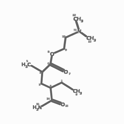 CCC(CC(C)C(=O)OCCN(C)C)C(N)=O